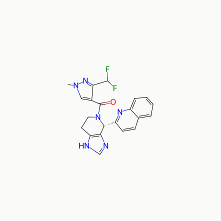 Cn1cc(C(=O)N2CCc3[nH]cnc3[C@H]2c2ccc3ccccc3n2)c(C(F)F)n1